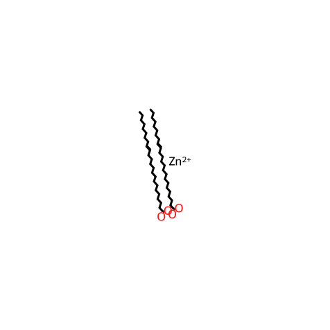 CCCCCCCCC=CCCCCCCCCCCCCCC(=O)[O-].CCCCCCCCC=CCCCCCCCCCCCCCC(=O)[O-].[Zn+2]